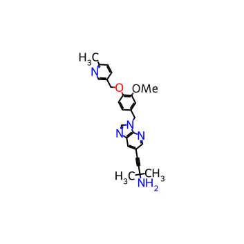 COc1cc(Cn2cnc3cc(C#CC(C)(C)N)cnc32)ccc1OCc1ccc(C)nc1